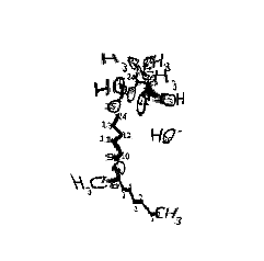 CCCCCCC(C)OCCCCCCOP(O)OC(CC(=O)O)C[N+](C)(C)C.[OH-]